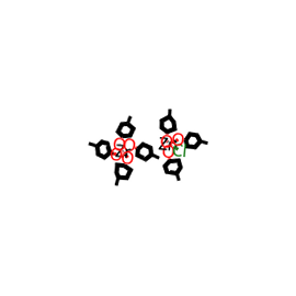 Cc1ccc([O][Zr]([Cl])([O]c2ccc(C)cc2)[O]c2ccc(C)cc2)cc1.Cc1ccc([O][Zr]([O]c2ccc(C)cc2)([O]c2ccc(C)cc2)[O]c2ccc(C)cc2)cc1